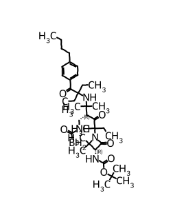 BC(=O)NC[C@@H](C(=O)C(C)(CC)N1C(=O)[C@H](NC(=O)OC(C)(C)C)C1(C)C)C(C)(C)NC(CC)(CC)C(=O)c1ccc(CCCC)cc1